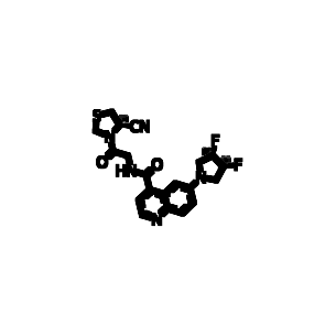 N#C[C@@H]1CSCN1C(=O)CNC(=O)c1ccnc2ccc(N3C[C@@H](F)[C@@H](F)C3)cc12